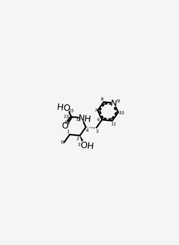 CC[C@H](O)[C@@H](Cc1ccncc1)NC(=O)O